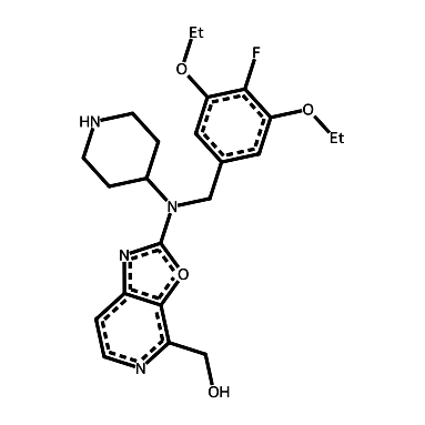 CCOc1cc(CN(c2nc3ccnc(CO)c3o2)C2CCNCC2)cc(OCC)c1F